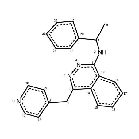 CC(Nc1nnc(Cc2ccncc2)c2ccccc12)c1ccccc1